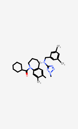 Cc1cc2c(cc1C(F)(F)F)N(C(=O)C1CCCCC1)CCC[C@@H]2N(Cc1cc(C(F)(F)F)cc(C(F)(F)F)c1)c1nnn(C)n1